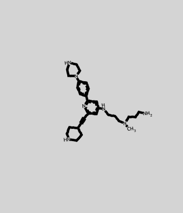 CN(CCCN)CCCNc1cc(C#CC2CCNCC2)nc(-c2ccc(N3CCNCC3)cc2)c1